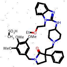 CCOCCn1c(NC2CCN(CCC3(c4ccccc4)CCN(Cc4cc(OC)c(OC)c(OC)c4)C3=O)CC2)nc2ccccc21.CS(=O)(=O)O